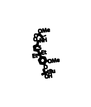 CCC(CC)(c1ccc(OCC(C)(O)C(C)(C)C)c(OC)c1)c1ccc(C(=O)N[C@@H](C)C(=O)OC)s1